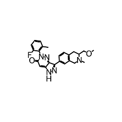 COCC1Cc2ccc(-c3n[nH]c4cc(=O)n(-c5c(C)cccc5F)nc34)cc2CN1C